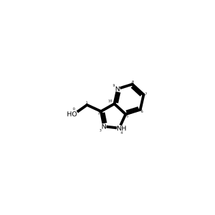 OCc1n[nH]c2cccnc12